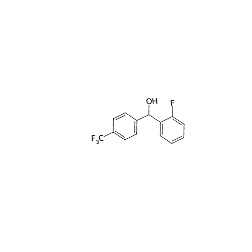 OC(c1ccc(C(F)(F)F)cc1)c1ccccc1F